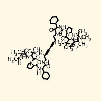 CN[C@@H](C)C(=O)N[C@H](C(=O)N1CCC[C@H]1C(=O)N[C@H](C(=O)NCCC#CC#CCCNC(=O)[C@@H](NC(=O)[C@@H]1CCCN1C(=O)[C@@H](NC(=O)[C@H](C)N(C)NC)C(C)(C)C)C1CCCCC1)C1CCCCC1)C(C)(C)C